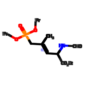 CCOC(=O)C(/C=C(\C)CP(=O)(OC(C)C)OC(C)C)NC=O